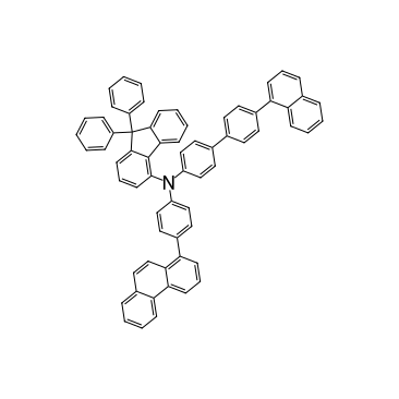 c1ccc(C2(c3ccccc3)c3ccccc3-c3c(N(c4ccc(-c5ccc(-c6cccc7ccccc67)cc5)cc4)c4ccc(-c5cccc6c5ccc5ccccc56)cc4)cccc32)cc1